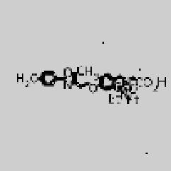 CCN(CC)S(=O)(=O)N(CC(=O)O)Cc1ccc(OCCc2nc(-c3ccc(C)cc3)oc2C)cc1